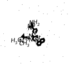 CCc1cccc2cccc(N3CCc4c(nc(OCC5(CN(C)C)CC5)nc4N4CCCC(c5nnc(N)o5)C4)C3)c12